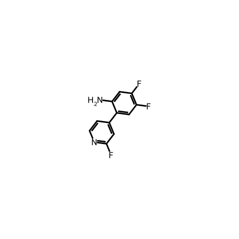 Nc1cc(F)c(F)cc1-c1ccnc(F)c1